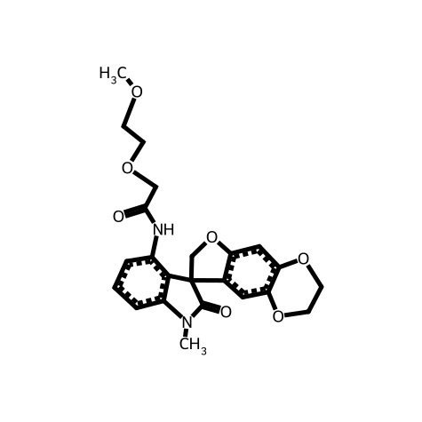 COCCOCC(=O)Nc1cccc2c1C1(COc3cc4c(cc31)OCCO4)C(=O)N2C